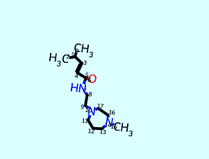 CC(C)/C=C/C(=O)NCCN1CCCN(C)CC1